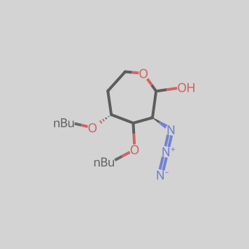 CCCCOC1[C@H](N=[N+]=[N-])C(O)OCC[C@H]1OCCCC